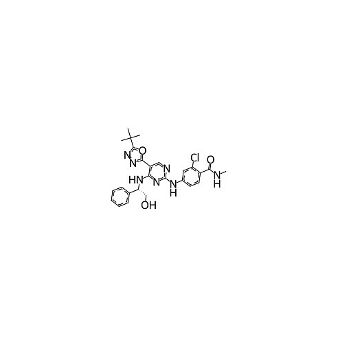 CNC(=O)c1ccc(Nc2ncc(-c3nnc(C(C)(C)C)o3)c(N[C@H](CO)c3ccccc3)n2)cc1Cl